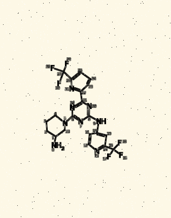 NC1CCCN(c2nc(Nc3ccnc(C(F)(F)F)c3)nc(-c3cccc(C(F)(F)F)n3)n2)C1